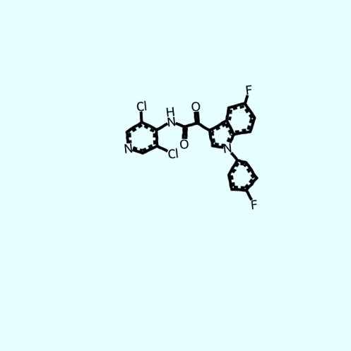 O=C(Nc1c(Cl)cncc1Cl)C(=O)c1cn(-c2ccc(F)cc2)c2ccc(F)cc12